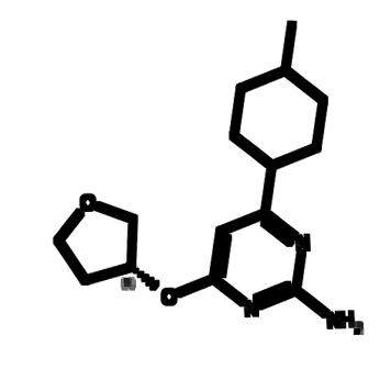 CC1CCC(c2cc(O[C@@H]3CCOC3)nc(N)n2)CC1